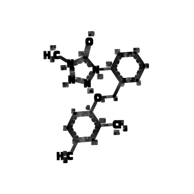 Cc1ccc(OCc2ccccc2-n2nnn(C)c2=O)c(C(F)(F)F)c1